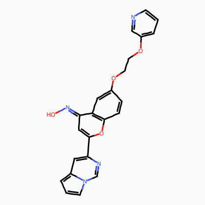 ON=c1cc(-c2cc3cccn3cn2)oc2ccc(OCCOc3cccnc3)cc12